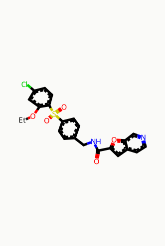 CCOc1cc(Cl)ccc1S(=O)(=O)c1ccc(CNC(=O)c2cc3ccncc3o2)cc1